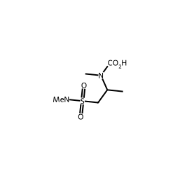 CNS(=O)(=O)CC(C)N(C)C(=O)O